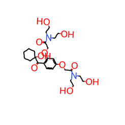 O=C(COc1ccc(C(=O)C2(O)CCCCC2)c(OCC(=O)N(CCO)CCO)c1)N(CCO)CCO